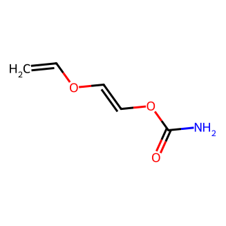 C=COC=COC(N)=O